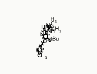 Cc1n[nH]c(Nc2ncnc3cc(OCCCN4CCN(C)CC4)c(SC(C)(C)C)cc23)c1C